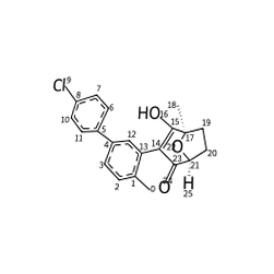 Cc1ccc(-c2ccc(Cl)cc2)cc1C1=C(O)[C@@]2(C)CC[C@H](O2)C1=O